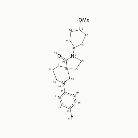 COC1CCC(N2CC[C@]3(CCCN(c4ncc(F)cn4)C3)C2=O)CC1